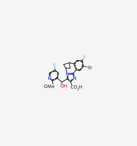 COc1ncc(F)cc1C(O)c1c(C(=O)O)nc2n1C1CC(C1)c1cc(F)c(Br)cc1-2